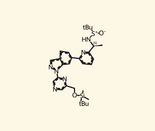 C[C@H](N[S+]([O-])C(C)(C)C)c1cccc(-c2ccc3cnn(-c4cncc(CO[Si](C)(C)C(C)(C)C)n4)c3c2)n1